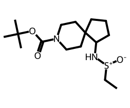 CC[S+]([O-])NC1CCCC12CCN(C(=O)OC(C)(C)C)CC2